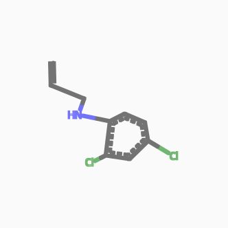 [CH]=CCNc1ccc(Cl)cc1Cl